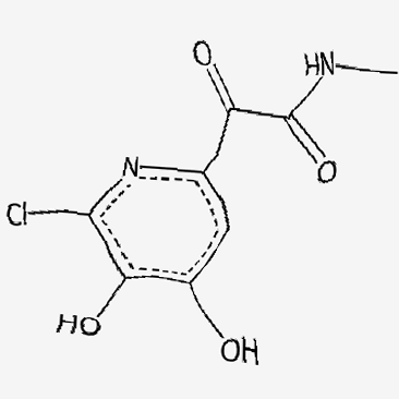 CNC(=O)C(=O)c1cc(O)c(O)c(Cl)n1